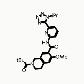 COc1cc2c(cc1C(=O)Nc1cccc(-c3nnnn3C(C)C)n1)CN(C(=O)C(C)(C)C)CC2